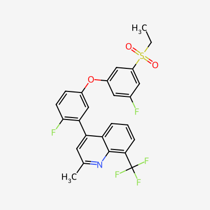 CCS(=O)(=O)c1cc(F)cc(Oc2ccc(F)c(-c3cc(C)nc4c(C(F)(F)F)cccc34)c2)c1